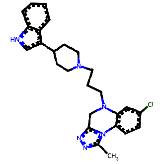 Cc1nnc2n1-c1ccc(Cl)cc1N(CCCN1CCC(c3c[nH]c4ccccc34)CC1)C2